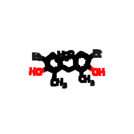 CCc1cc(C)c(Cc2c(C)cc(CC)c(O)c2C)c(C)c1O